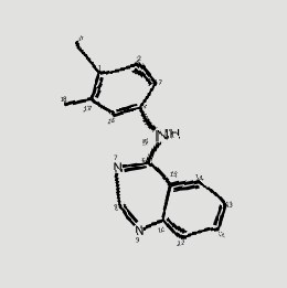 Cc1ccc(Nc2ncnc3ccccc23)cc1C